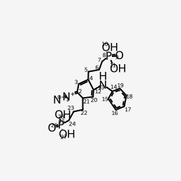 [N-]=[N+]=C1C=C(CCCP(=O)(O)O)C(Nc2ccccc2)=CC1CCCP(=O)(O)O